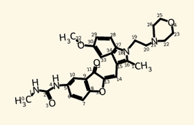 CNC(=O)Nc1ccc2c(c1)C(=O)C(=Cc1c(C)n(CCN3CCOCC3)c3ccc(OC)cc13)O2